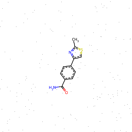 Cc1nc(-c2ccc(C(N)=O)cc2)cs1